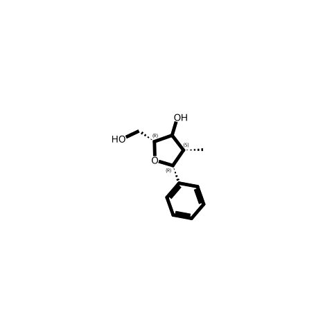 C[C@H]1C(O)[C@@H](CO)O[C@H]1c1ccccc1